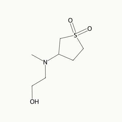 CN(CCO)C1CCS(=O)(=O)C1